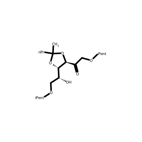 CCCC(C)OCC(=O)[C@@H]1OC(C)(CCC)O[C@H]1[C@H](O)COC(C)CCC